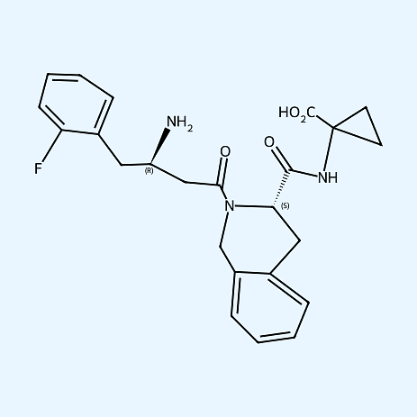 N[C@@H](CC(=O)N1Cc2ccccc2C[C@H]1C(=O)NC1(C(=O)O)CC1)Cc1ccccc1F